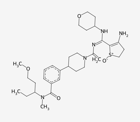 C=C(/N=C(/NC1CCOCC1)C1=C(N)CC[S+]1[O-])N1CCC(c2cccc(C(=O)N(C)C(CC)CCOC)c2)CC1